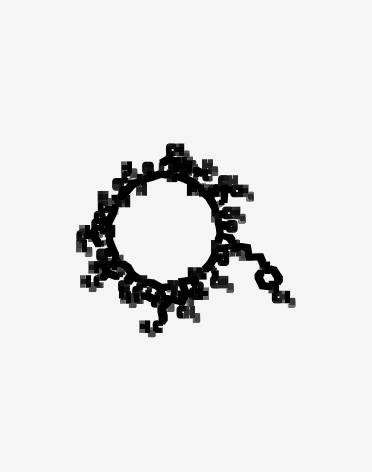 C/C=C/C[C@@H](C)[C@@H](O)[C@H]1C(=O)N[C@@H](CC)C(=O)N(C)[C@H](CSCCCN2CCN(C)CC2)C(=O)N(C)[C@@H](CC(C)(C)O)C(=O)N[C@@H](C(C)C)C(=O)N(C)[C@@H](CC(C)C)C(=O)N[C@@H](C)C(=O)N[C@H](C)C(=O)N(C)[C@@H](CC(C)C)C(=O)N(C)[C@@H](CC(C)C)C(=O)N(C)[C@@H](C(C)C)C(=O)N1C